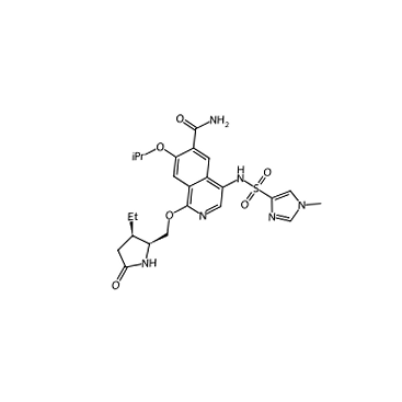 CC[C@@H]1CC(=O)N[C@@H]1COc1ncc(NS(=O)(=O)c2cn(C)cn2)c2cc(C(N)=O)c(OC(C)C)cc12